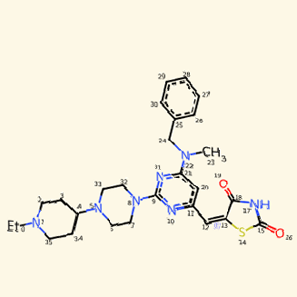 CCN1CCC(N2CCN(c3nc(/C=C4/SC(=O)NC4=O)cc(N(C)Cc4ccccc4)n3)CC2)CC1